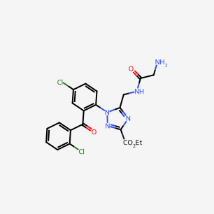 CCOC(=O)c1nc(CNC(=O)CN)n(-c2ccc(Cl)cc2C(=O)c2ccccc2Cl)n1